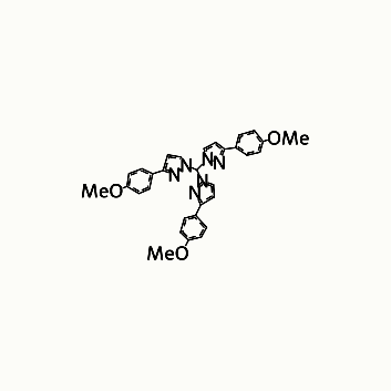 COc1ccc(-c2ccn(C(n3ccc(-c4ccc(OC)cc4)n3)n3ccc(-c4ccc(OC)cc4)n3)n2)cc1